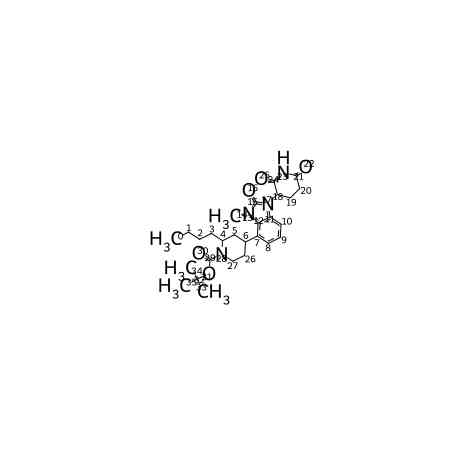 CCCCC1CC(c2cccc3c2n(C)c(=O)n3C2CCC(=O)NC2=O)CCN1C(=O)OC(C)(C)C